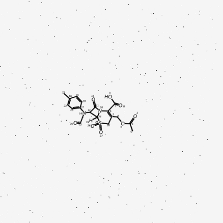 CC(=O)OCC1=C(C(=O)O)N2C(=O)C(N(C=O)c3ccc(C)cc3)[C@H]2S(=O)(=O)C1